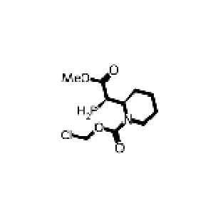 COC(=O)[C@H](P)[C@H]1CCCCN1C(=O)OCCl